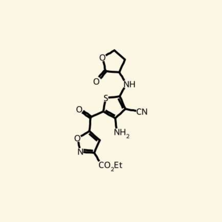 CCOC(=O)c1cc(C(=O)c2sc(NC3CCOC3=O)c(C#N)c2N)on1